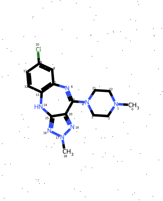 CN1CCN(C2=Nc3cc(Cl)ccc3Nc3nn(C)nc32)CC1